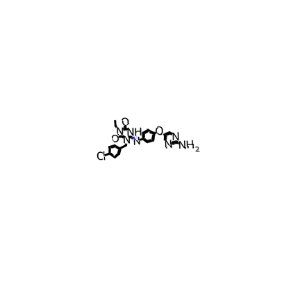 CCn1c(=O)[nH]/c(=N\c2ccc(Oc3cnc(N)nc3)cc2)n(Cc2ccc(Cl)cc2)c1=O